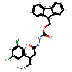 O=C(O)CC(CC(=O)NNC(=O)OCC1c2ccccc2-c2ccccc21)c1cc(Cl)cc(Cl)c1